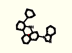 c1ccc(-c2cccc(-c3ccccc3)c2Nc2cccc(-n3cnc4ccccc43)c2)cc1